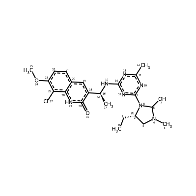 CC[C@H]1CN(C)C(O)N1c1nc(C)nc(N[C@@H](C)c2cc3ccc(OC)c(Cl)c3[nH]c2=O)n1